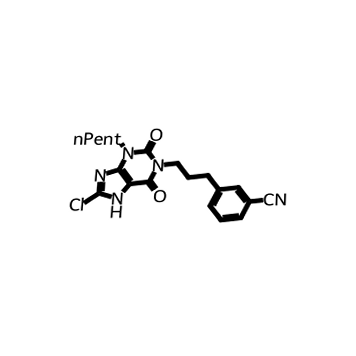 CCCCCn1c(=O)n(CCCc2cccc(C#N)c2)c(=O)c2[nH]c(Cl)nc21